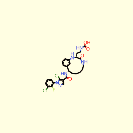 O=C(O)NCC[C@@H]1Nc2cccc(c2)[C@@H](NC(=O)c2cnn(-c3cccc(Cl)c3F)c2Cl)CCCCCNC1=O